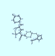 C/N=c1\sccn1CC1CCN(C(=O)[C@H](NC(=O)Nc2ccc(I)cc2)C(C)(C)C)CC1